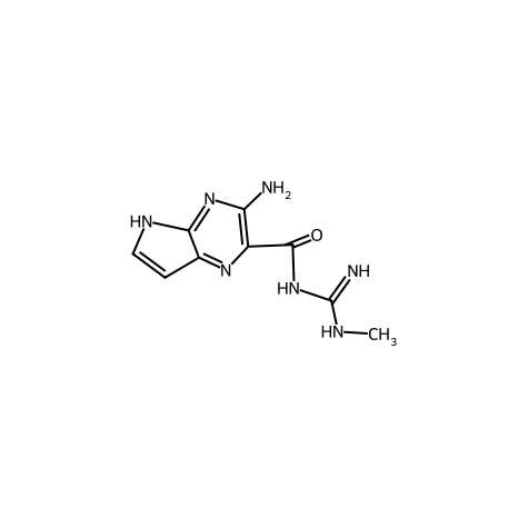 CNC(=N)NC(=O)c1nc2cc[nH]c2nc1N